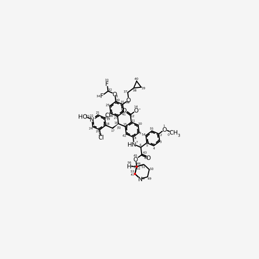 COc1ccc(C(Nc2ccc(C(=O)[O-])c([C@@H](Cc3c(Cl)c[n+](O)cc3Cl)c3ccc(OC(F)F)c(OCC4CC4)c3)c2)C(=O)O[C@H]2CN3CCC2CC3)cc1